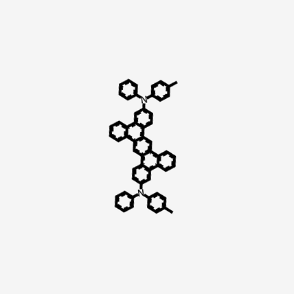 Cc1ccc(N(c2ccccc2)c2ccc3c(c2)c2ccccc2c2cc4c5ccc(N(c6ccccc6)c6ccc(C)cc6)cc5c5ccccc5c4cc32)cc1